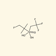 CC(C)(CF)S(=O)(O)(O)CC(F)(F)F